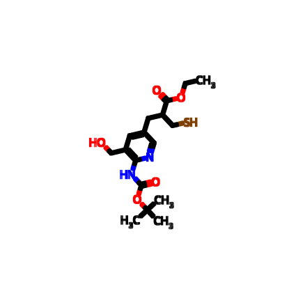 CCOC(=O)C(CS)Cc1cnc(NC(=O)OC(C)(C)C)c(CO)c1